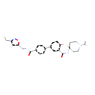 CCc1cc(CNC(=O)c2ccc(-c3ccc4c(c3)C(=O)NC3(CCN(C(C)C)CC3)O4)cc2)on1